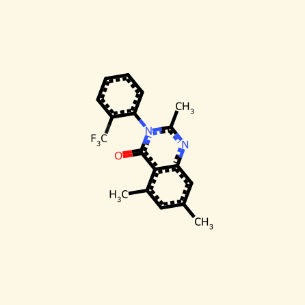 Cc1cc(C)c2c(=O)n(-c3ccccc3C(F)(F)F)c(C)nc2c1